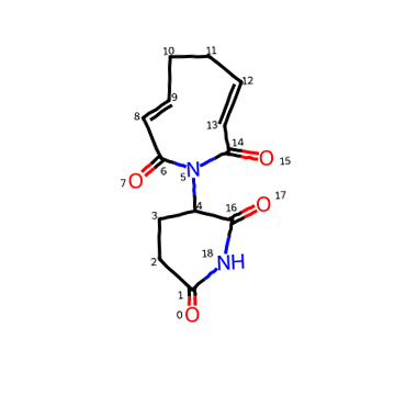 O=C1CCC(N2C(=O)/C=C/CC/C=C/C2=O)C(=O)N1